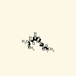 C=CC(=O)N(C)C1CN(c2cnc3[nH]cc(C(=O)N[C@@H](C)COC)c3n2)C1